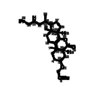 COCO[C@H]1CC[C@]2(C)C3=C(OC(=O)[C@H]2C1)[C@@H]1CC[C@H]([C@H](C)CNCC(C)C)[C@@]1(C)CC3